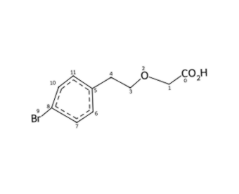 O=C(O)COCCc1ccc(Br)cc1